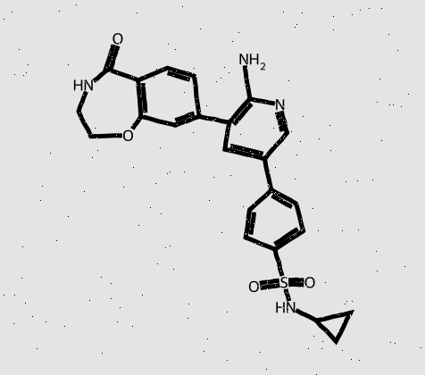 Nc1ncc(-c2ccc(S(=O)(=O)NC3CC3)cc2)cc1-c1ccc2c(c1)OCCNC2=O